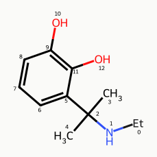 CCNC(C)(C)c1cccc(O)c1O